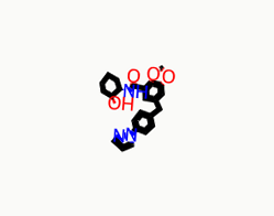 O=C(N[C@H]1CCCC[C@@H]1O)c1cc(Cc2ccc(-n3cccn3)cc2)cc2c1OCO2